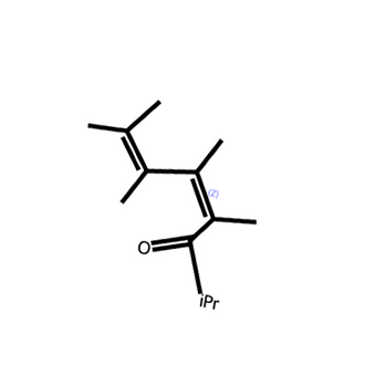 CC(C)=C(C)/C(C)=C(/C)C(=O)C(C)C